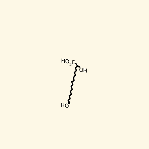 O=C(O)CC(=CO)CCCCCCCCCCCCCCC=CO